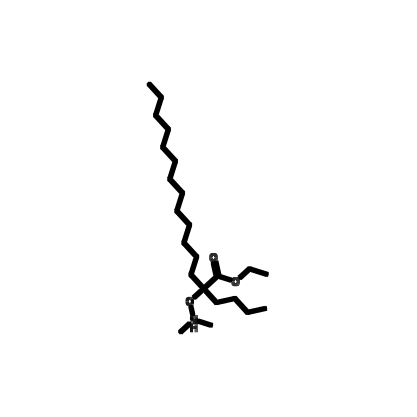 CCCCCCCCCCCCCC(CCCC)(O[SiH](C)C)C(=O)OCC